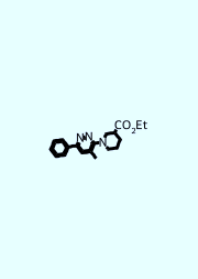 CCOC(=O)C1CCCN(c2nnc(-c3ccccc3)cc2C)C1